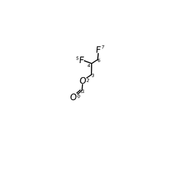 O=[C]OCC(F)CF